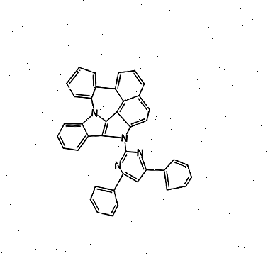 c1ccc(-c2cc(-c3ccccc3)nc(-n3c4ccc5cccc6c7ccccc7n7c8ccccc8c3c7c4c56)n2)cc1